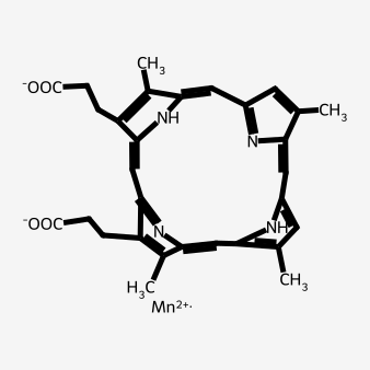 CC1=Cc2cc3[nH]c(cc4nc(cc5[nH]c(cc1n2)cc5C)C(C)=C4CCC(=O)[O-])c(CCC(=O)[O-])c3C.[Mn+2]